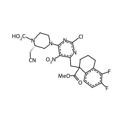 COC(=O)C1(Cc2nc(Cl)nc(N3CCN(C(=O)O)[C@@H](CC#N)C3)c2[N+](=O)[O-])CCCc2c1ccc(F)c2F